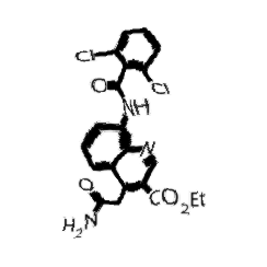 CCOC(=O)c1cnc2c(NC(=O)c3c(Cl)cccc3Cl)cccc2c1CC(N)=O